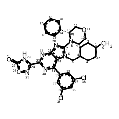 CC1CCC(Cn2c(N3CCOC[C@H]3c3ccccc3)nc3nc(-c4noc(=O)[nH]4)nc(-c4cc(Cl)cc(Cl)c4)c32)CC1